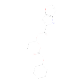 CCC(OC(=O)OC1CCCCC1)OC(=O)c1cc2occc2[nH]1